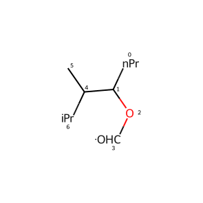 CCCC(O[C]=O)C(C)C(C)C